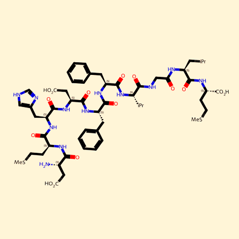 CSCC[C@H](NC(=O)[C@H](CC(C)C)NC(=O)CNC(=O)[C@@H](NC(=O)[C@H](Cc1ccccc1)NC(=O)[C@H](Cc1ccccc1)NC(=O)[C@H](CC(=O)O)NC(=O)[C@H](Cc1c[nH]cn1)NC(=O)[C@H](CCSC)NC(=O)[C@@H](N)CC(=O)O)C(C)C)C(=O)O